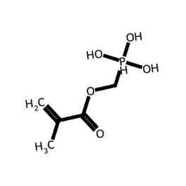 C=C(C)C(=O)OC[PH](O)(O)O